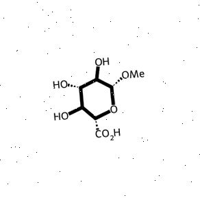 CO[C@@H]1O[C@H](C(=O)O)C(O)[C@H](O)C1O